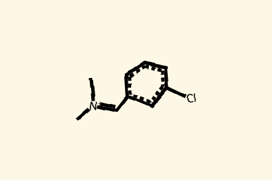 C[N+](C)=Cc1cccc(Cl)c1